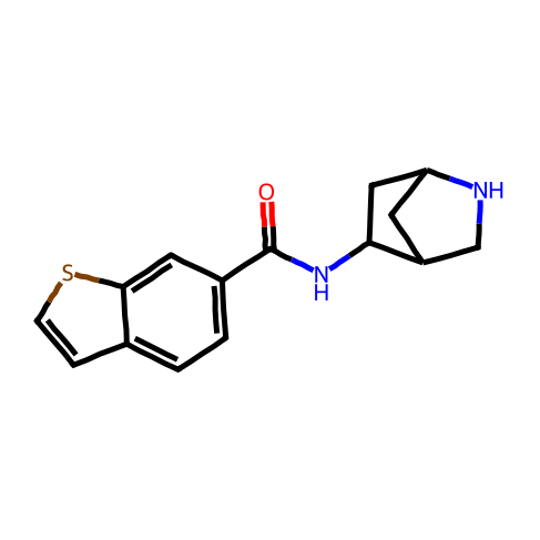 O=C(NC1CC2CC1CN2)c1ccc2ccsc2c1